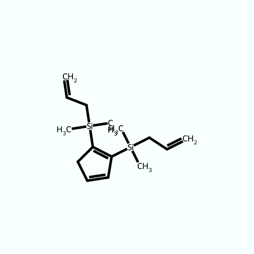 C=CC[Si](C)(C)C1=C([Si](C)(C)CC=C)CC=C1